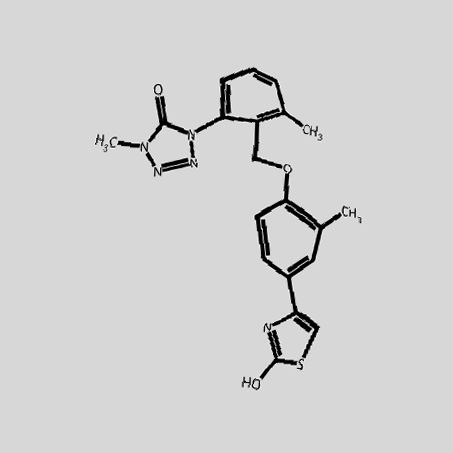 Cc1cc(-c2csc(O)n2)ccc1OCc1c(C)cccc1-n1nnn(C)c1=O